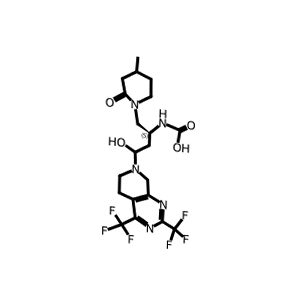 CC1CCN(C[C@H](CC(O)N2CCc3c(nc(C(F)(F)F)nc3C(F)(F)F)C2)NC(=O)O)C(=O)C1